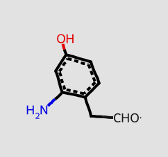 Nc1cc(O)ccc1C[C]=O